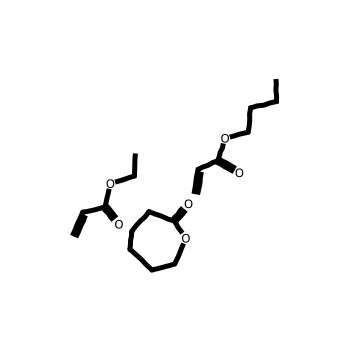 C=CC(=O)OCC.C=CC(=O)OCCCC.O=C1CCCCCO1